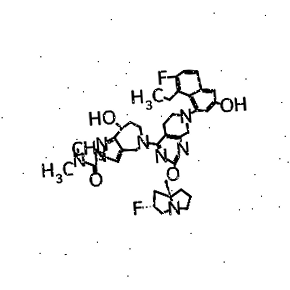 CCc1c(F)ccc2cc(O)cc(N3CCc4c(nc(OC[C@@]56CCCN5C[C@H](F)C6)nc4N4CCC(O)c5nn(C(=O)N(C)C)cc5C4)C3)c12